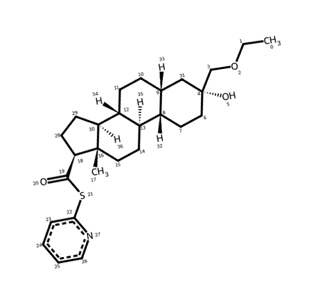 CCOC[C@@]1(O)CC[C@H]2[C@H](CC[C@@H]3[C@@H]2CC[C@]2(C)[C@@H](C(=O)Sc4ccccn4)CC[C@@H]32)C1